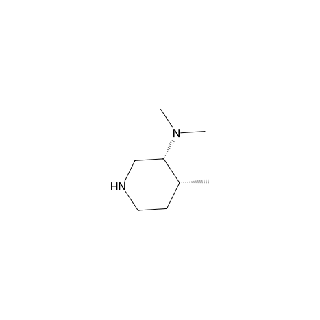 C[C@@H]1CCNC[C@@H]1N(C)C